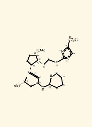 CCCC[C@H](C)C[C@@H](/C=C/[C@@H]1CC[C@H](OC(C)=O)[C@@H]1CCSc1nc(C(=O)OCC)cs1)OC1CCCCO1